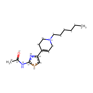 CCCCCCN1CC=C(c2csc(NC(C)=O)n2)CC1